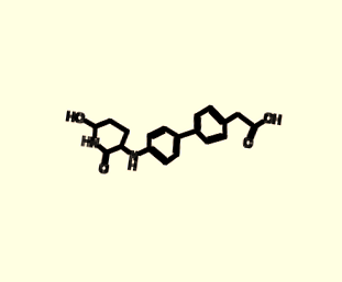 O=C(O)Cc1ccc(-c2ccc(NC3CCC(O)NC3=O)cc2)cc1